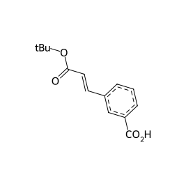 CC(C)(C)OC(=O)/C=C/c1cccc(C(=O)O)c1